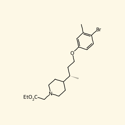 CCOC(=O)CN1CCC([C@@H](C)CCOc2ccc(Br)c(C)c2)CC1